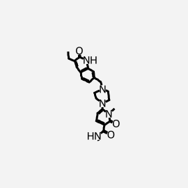 CCc1cc2ccc(CN3CCN(c4ccc(C(=O)NC)c(=O)n4C)CC3)cc2[nH]c1=O